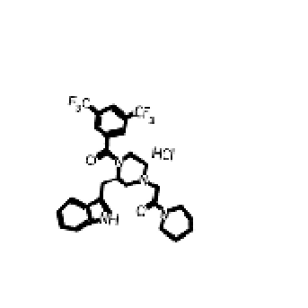 Cl.O=C(CN1CCN(C(=O)c2cc(C(F)(F)F)cc(C(F)(F)F)c2)[C@H](Cc2c[nH]c3ccccc23)C1)N1CCCCC1